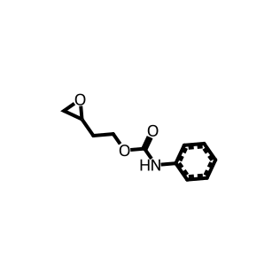 O=C(Nc1ccccc1)OCCC1CO1